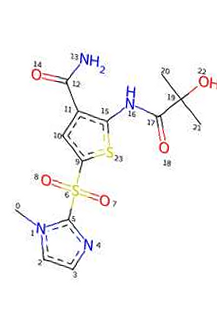 Cn1ccnc1S(=O)(=O)c1cc(C(N)=O)c(NC(=O)C(C)(C)O)s1